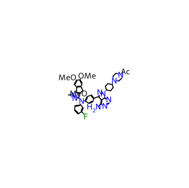 COc1cc2c(cc1OC)-c1c(c(N(c3cccc(F)c3)c3ccc(-c4nn([C@H]5CC[C@H](N6CCN(C(C)=O)CC6)CC5)c5ncnc(N)c45)cc3OC)nn1C)C2